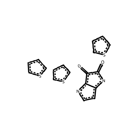 O=c1nc2ccnc-2c1=O.c1ccsc1.c1ccsc1.c1ccsc1